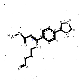 COC(=O)/C=C(\NCCCC=O)c1ccc(C2COCO2)cc1